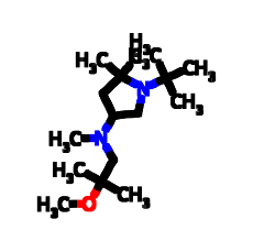 COC(C)(C)CN(C)C1CN(C(C)(C)C)C(C)(C)C1